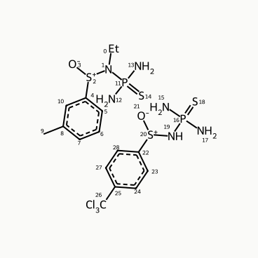 CCN([S+]([O-])c1cccc(C)c1)P(N)(N)=S.NP(N)(=S)N[S+]([O-])c1ccc(C(Cl)(Cl)Cl)cc1